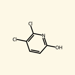 Oc1ccc(Cl)c(Cl)n1